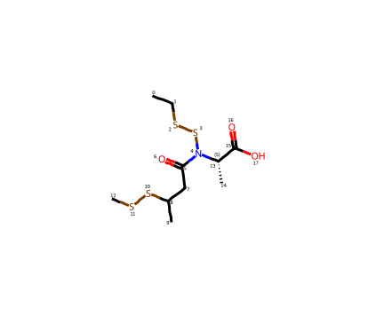 CCSSN(C(=O)CC(C)SSC)[C@@H](C)C(=O)O